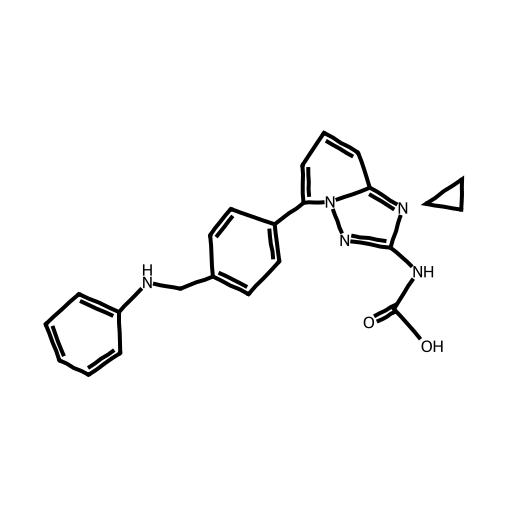 C1CC1.O=C(O)Nc1nc2cccc(-c3ccc(CNc4ccccc4)cc3)n2n1